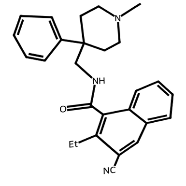 CCc1c(C#N)cc2ccccc2c1C(=O)NCC1(c2ccccc2)CCN(C)CC1